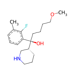 COCCCC[C@@](O)(c1cccc(C)c1F)[C@@H]1CCCNC1